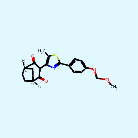 COCOc1ccc(-c2nc(C3C(=O)[C@@H]4CC[C@@H](C4)C3=O)c(C)s2)cc1